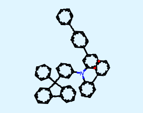 c1ccc(-c2ccc(-c3cccc(N(c4cccc(C5(c6ccccc6)c6ccccc6-c6ccccc65)c4)c4ccccc4-c4ccccc4)c3)cc2)cc1